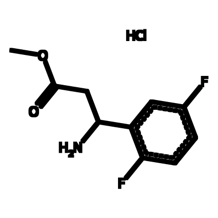 COC(=O)CC(N)c1cc(F)ccc1F.Cl